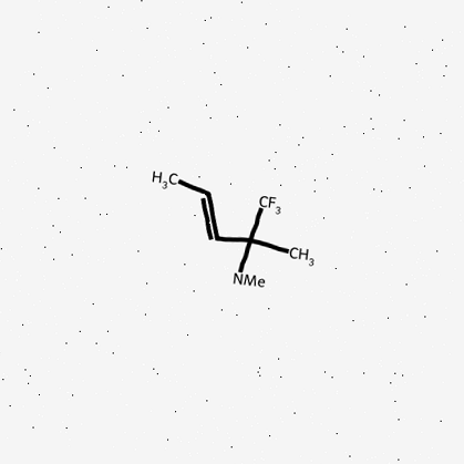 C/C=C/C(C)(NC)C(F)(F)F